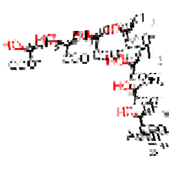 CC(O)C(=O)[O-].CC(O)C(=O)[O-].CC(O)C(=O)[O-].CC(O)C(=O)[O-].CC(O)C(=O)[O-].CC(O)C(=O)[O-].CC(O)C(=O)[O-].C[C](=O)[Ti+3].[Ti+4]